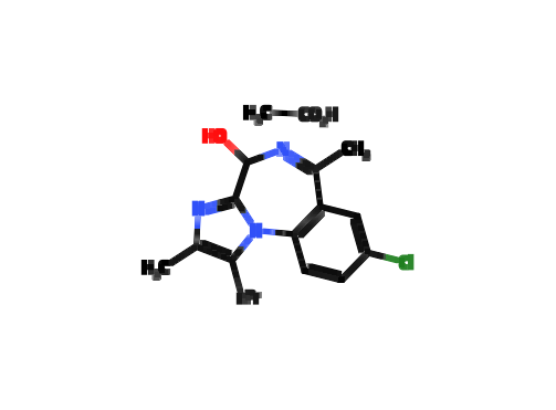 CC(=O)O.CCCc1c(C)nc2n1-c1ccc(Cl)cc1C(C)=NC2O